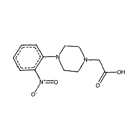 O=C(O)CN1CCN(c2ccccc2[N+](=O)[O-])CC1